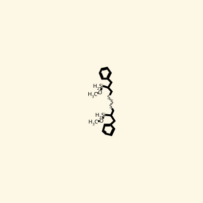 CO[SiH2]C(CSSSCC(Cc1ccccc1)[SiH2]OC)Cc1ccccc1